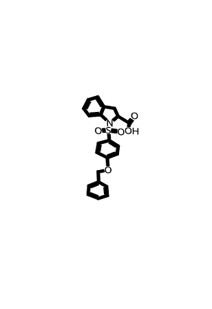 O=C(O)C1Cc2ccccc2N1S(=O)(=O)c1ccc(OCc2ccccc2)cc1